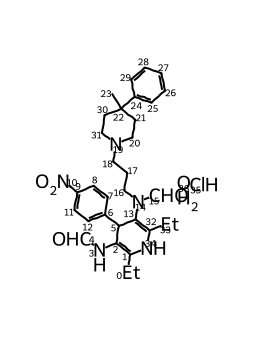 CCC1=C(NC=O)C(c2ccc([N+](=O)[O-])cc2)C(N(C=O)CCCN2CCC(C)(c3ccccc3)CC2)=C(CC)N1.Cl.O